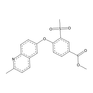 COC(=O)c1ccc(Oc2ccc3nc(C)ccc3c2)c(S(C)(=O)=O)c1